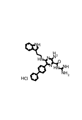 Cl.N=C(N)NC(=O)c1nc(-c2ccc(-c3ccccc3)cc2)c(NCCc2c[nH]c3ccccc23)nc1N